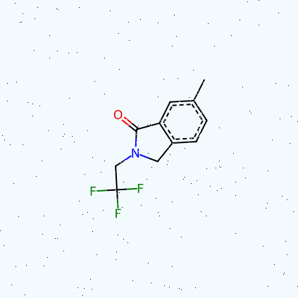 Cc1ccc2c(c1)C(=O)N(CC(F)(F)F)C2